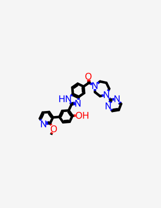 COc1ncccc1-c1ccc(O)c(-c2nc3cc(C(=O)N4CCCN(c5ncccn5)CC4)ccc3[nH]2)c1